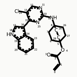 C=CC(=O)OC12CCC(Nc3ncc(Cl)c(-c4c[nH]c5ccccc45)n3)(CC1)CC2